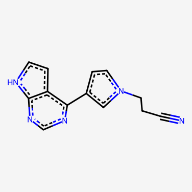 N#CCCn1ccc(-c2ncnc3[nH]ccc23)c1